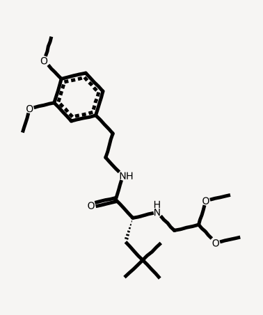 COc1ccc(CCNC(=O)[C@@H](CC(C)(C)C)NCC(OC)OC)cc1OC